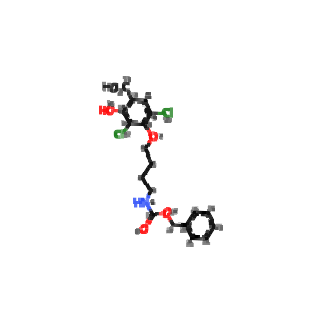 O=C(NCCCCOc1c(Cl)cc(C(=O)O)c(O)c1Cl)OCc1ccccc1